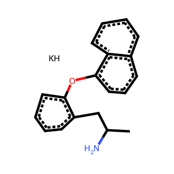 CC(N)Cc1ccccc1Oc1cccc2ccccc12.[KH]